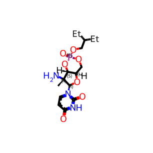 CCC(CC)CO[P@@]1(=O)OC[C@H]2O[C@@H](n3ccc(=O)[nH]c3=O)[C@](C)(N)[C@@H]2O1